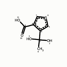 CC(O)(O)c1cscc1C(=O)O